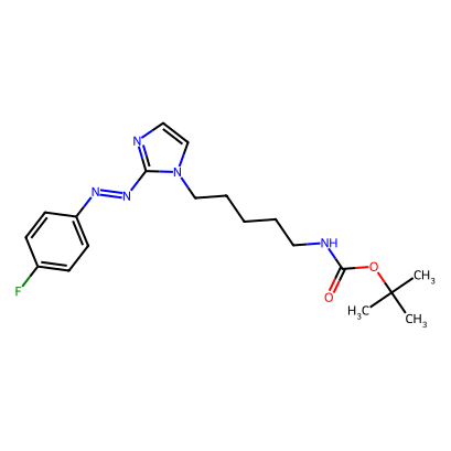 CC(C)(C)OC(=O)NCCCCCn1ccnc1/N=N/c1ccc(F)cc1